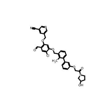 Cc1c(COc2cc(OCc3cncc(C#N)c3)c(C=O)cc2Cl)cccc1-c1cccc(OCC(=O)N2CCC(O)C2)c1